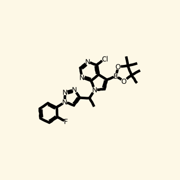 CC(c1cn(-c2ccccc2F)nn1)n1cc(B2OC(C)(C)C(C)(C)O2)c2c(Cl)ncnc21